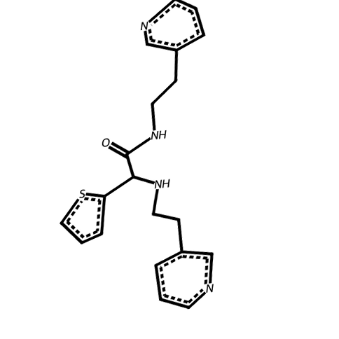 O=C(NCCc1cccnc1)C(NCCc1cccnc1)c1cccs1